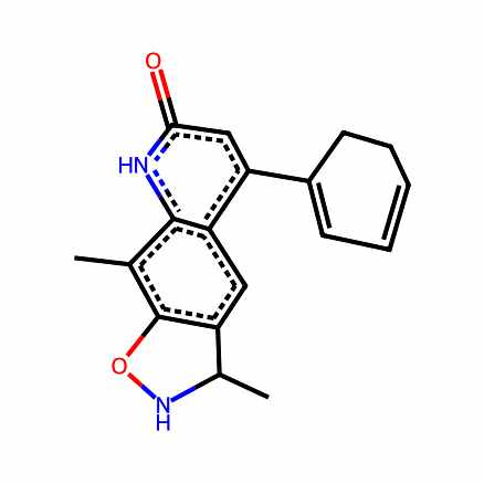 Cc1c2c(cc3c(C4=CC=CCC4)cc(=O)[nH]c13)C(C)NO2